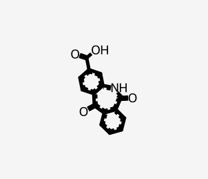 O=C(O)c1ccc2c(=O)c3ccccc3c(=O)[nH]c2c1